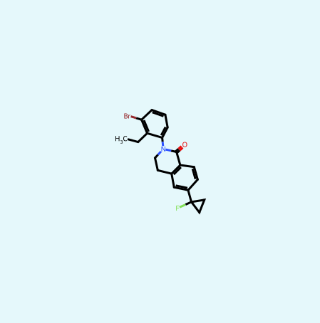 CCc1c(Br)cccc1N1CCc2cc(C3(F)CC3)ccc2C1=O